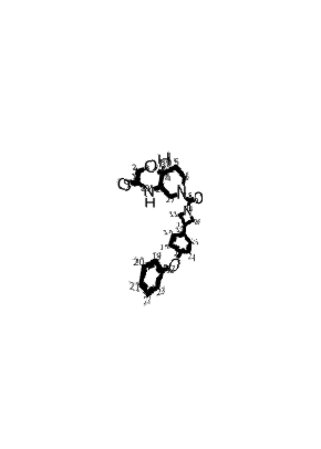 O=C1CO[C@H]2CCN(C(=O)N3CC(c4ccc(Oc5ccccc5)cc4)C3)CC2N1